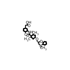 Cc1ccc(CC(=O)O)cc1NC(=O)c1c(C)cc(OC[C@@H]2CN(C)c3ccccc3O2)cc1C